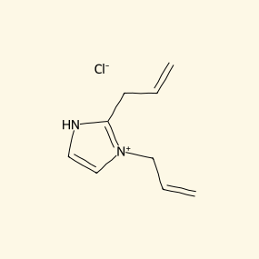 C=CCc1[nH]cc[n+]1CC=C.[Cl-]